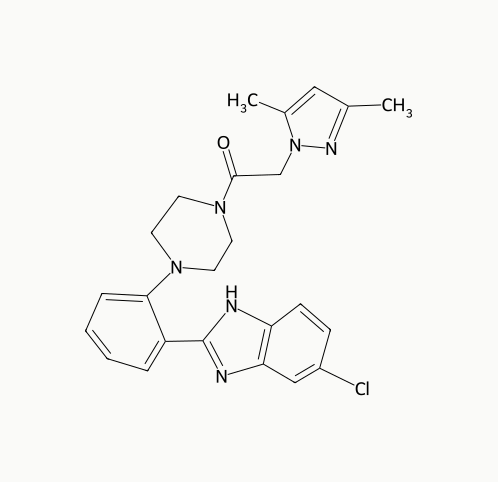 Cc1cc(C)n(CC(=O)N2CCN(c3ccccc3-c3nc4cc(Cl)ccc4[nH]3)CC2)n1